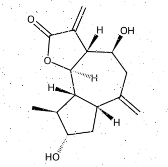 C=C1C(=O)O[C@H]2[C@H]1[C@@H](O)CC(=C)[C@@H]1C[C@H](O)[C@@H](C)[C@H]21